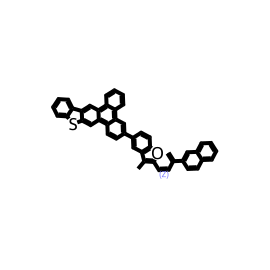 C=C(/C=C\c1oc2ccc(-c3ccc4c(c3)c3ccccc3c3cc5c(cc43)sc3ccccc35)cc2c1C)c1ccc2ccccc2c1